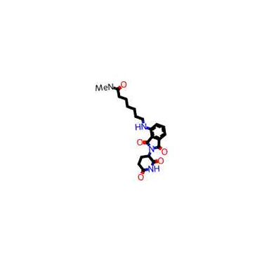 CNC(=O)CCCCCCNc1cccc2c1C(=O)N(C1CCC(=O)NC1=O)C2=O